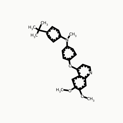 COc1cc2nccc(Oc3ccc(N(C)c4ccc(C(C)(C)C)cc4)cc3)c2cc1OC